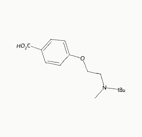 CN(CCOc1ccc(C(=O)O)cc1)C(C)(C)C